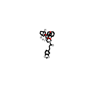 Cc1nc2ccccc2n1C1C[C@H]2CC[C@@H](C1)N2CCC1(c2ccccc2)CCN(C(=O)CCc2ccc3c(c2)OCO3)CC1